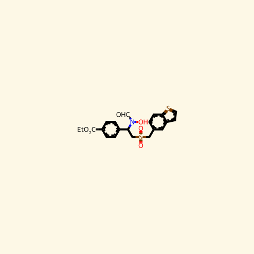 CCOC(=O)c1ccc(C(CS(=O)(=O)Cc2ccc3sccc3c2)N(O)C=O)cc1